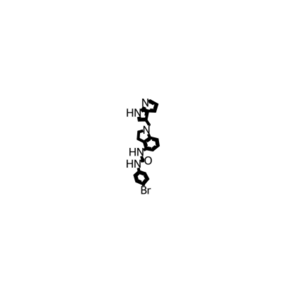 O=C(Nc1ccc(Br)cc1)Nc1cccc2c1CCN2Cc1c[nH]c2ncccc12